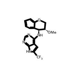 CO[C@H]1COc2ccccc2[C@@H]1Nc1ncnc2[nH]c(C(F)(F)F)cc12